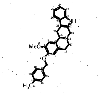 COc1cc2c(cc1OCc1ccc(C)cc1)CCN1Cc3[nH]c4ccccc4c3CC21